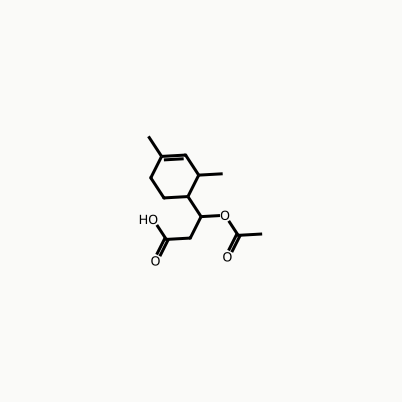 CC(=O)OC(CC(=O)O)C1CCC(C)=CC1C